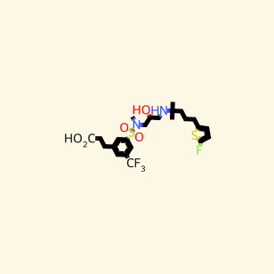 CN(CC(O)CNC(C)(C)CCCc1ccc(F)s1)S(=O)(=O)c1cc(CCC(=O)O)cc(C(F)(F)F)c1